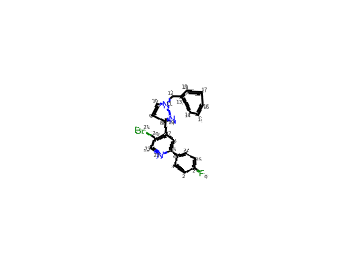 Fc1ccc(-c2cc(-c3ccn(Cc4ccccc4)n3)c(Br)cn2)cc1